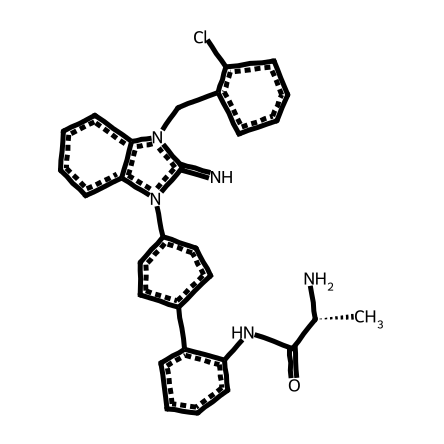 C[C@@H](N)C(=O)Nc1ccccc1-c1ccc(-n2c(=N)n(Cc3ccccc3Cl)c3ccccc32)cc1